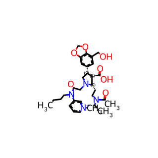 CCCCN(C(=O)CN1C[C@H](c2cc(CO)c3c(c2)OCO3)[C@@H](C(=O)O)[C@@H]1CCN(CC)C(C)=O)c1ccc[n+](C)c1